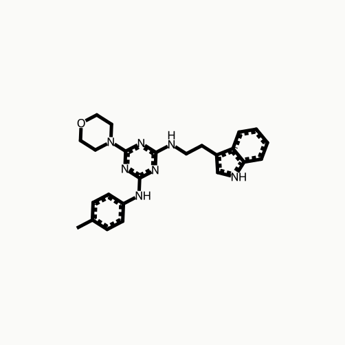 Cc1ccc(Nc2nc(NCCc3c[nH]c4ccccc34)nc(N3CCOCC3)n2)cc1